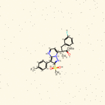 COC(=O)[C@](C)(Cc1cccc(F)c1)c1ccnc2c(-c3ccc(C(F)(F)F)cc3)c(S(C)(=O)=O)nn12